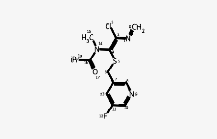 C=N/C(Cl)=C(\SCc1cncc(F)c1)N(C)C(=O)C(C)C